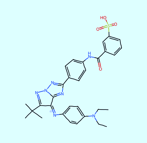 CCN(CC)c1ccc(/N=C2/C(C(C)(C)C)=Nn3nc(-c4ccc(NC(=O)c5cccc(S(=O)(=O)O)c5)cc4)nc32)cc1